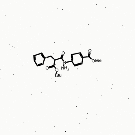 COC(=O)c1ccc(N(N)C(=O)C(Cc2ccccc2)C(=O)OC(C)(C)C)cc1